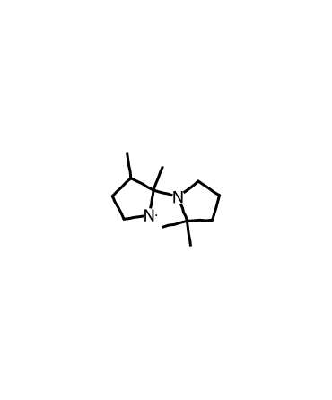 CC1CC[N]C1(C)N1CCCC1(C)C